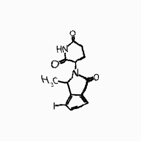 CC1c2c(I)cccc2C(=O)N1C1CCC(=O)NC1=O